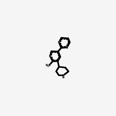 Nc1ncc(-c2ncccn2)cc1C1CCNCC1